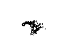 Cc1nc(-c2ccc(OC3CCCCC3)cc2)nc(C)c1C(=O)N[C@@H](CCN)C(=O)N[C@@H]1C(=O)N[C@@H](C)C(=O)N[C@H](C(=O)NCC#N)Cc2ccc(OCCN)c(c2)-c2cc1ccc2OCCN